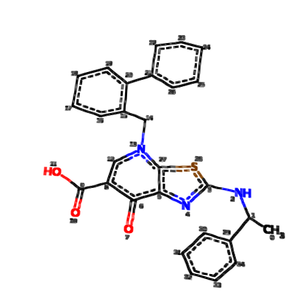 CC(Nc1nc2c(=O)c(C(=O)O)cn(Cc3ccccc3-c3ccccc3)c2s1)c1ccccc1